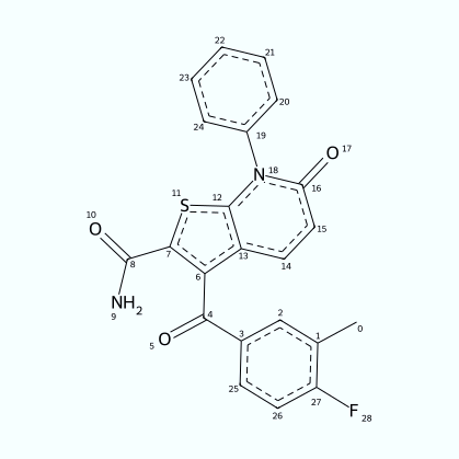 Cc1cc(C(=O)c2c(C(N)=O)sc3c2ccc(=O)n3-c2ccccc2)ccc1F